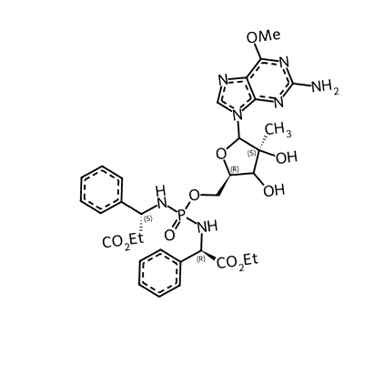 CCOC(=O)[C@@H](NP(=O)(N[C@@H](C(=O)OCC)c1ccccc1)OC[C@H]1OC(n2cnc3c(OC)nc(N)nc32)[C@@](C)(O)C1O)c1ccccc1